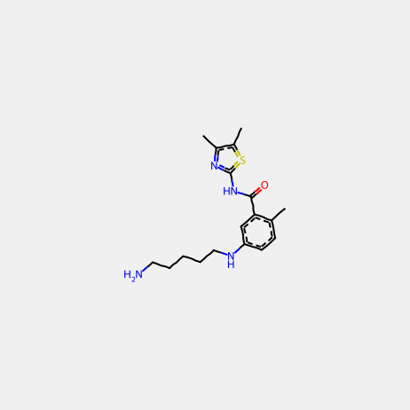 Cc1ccc(NCCCCCN)cc1C(=O)Nc1nc(C)c(C)s1